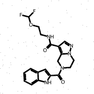 O=C(NCCOC(F)F)c1cnn2c1CN(C(=O)c1cc3ccccc3[nH]1)CC2